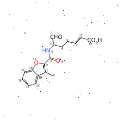 Cc1c(C(=O)NC(C=O)CCC=CC(=O)O)oc2ccccc12